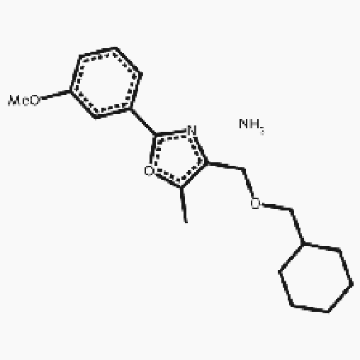 COc1cccc(-c2nc(COCC3CCCCC3)c(C)o2)c1.N